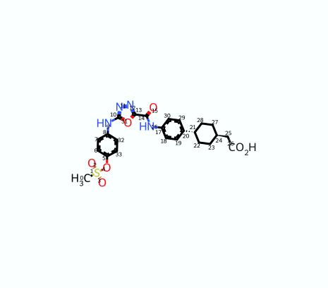 CS(=O)(=O)Oc1ccc(Nc2nnc(C(=O)Nc3ccc([C@H]4CC[C@H](CC(=O)O)CC4)cc3)o2)cc1